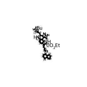 CCOC(=O)c1[nH]c2c(-c3c([C@H](O)CCO[Si](C)(C)C(C)(C)C)nn(C)c3C)c(Cl)ccc2c1CCCOc1cccc2ccccc12